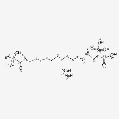 CC(C)(Br)C(=O)OCCCCCCCCCCOC(=O)CC(C(=O)O)S(=O)(=O)O.[NaH].[NaH]